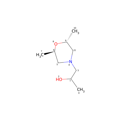 CC(O)CN1C[C@@H](C)O[C@H](C)C1